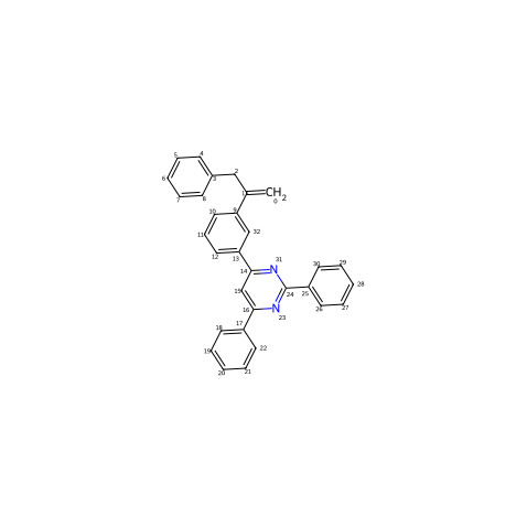 C=C(Cc1ccccc1)c1cccc(-c2cc(-c3ccccc3)nc(-c3ccccc3)n2)c1